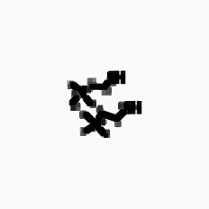 C[N+](C)(C)CCS.C[N+](C)(C)CCS